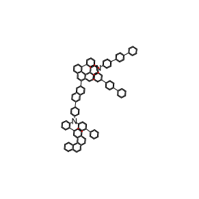 c1ccc(-c2ccc(-c3ccc(N(c4cccc(-c5ccc(-c6ccccc6)cc5)c4)c4cccc(-c5cccc6cc(-c7ccc8cc(-c9ccc(N(c%10ccc(-c%11ccccc%11)cc%10)c%10ccccc%10-c%10ccc%11ccc%12ccc%13ccccc%13c%12c%11c%10)cc9)ccc8c7)c7ccc8ccccc8c7c56)c4)cc3)cc2)cc1